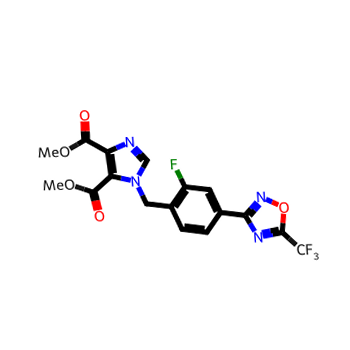 COC(=O)c1ncn(Cc2ccc(-c3noc(C(F)(F)F)n3)cc2F)c1C(=O)OC